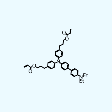 C=CC(=O)OCCCc1ccc(N(c2ccc(CCCOC(=O)C=C)cc2)c2ccc(-c3ccc(N(CC)CC)cc3)cc2)cc1